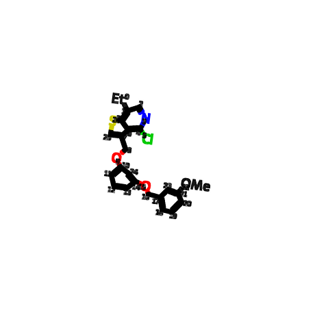 CCc1cnc(Cl)c2c(COc3cccc(OCc4cccc(OC)c4)c3)csc12